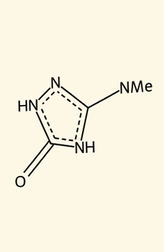 CNc1n[nH]c(=O)[nH]1